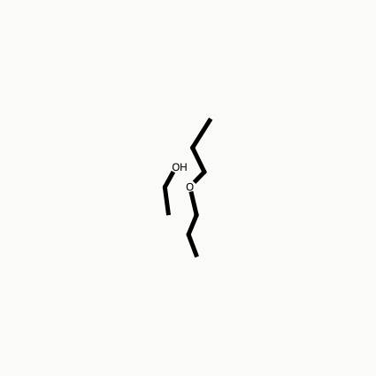 CCCOCCC.CCO